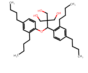 CCCCc1ccc(OC(c2ccc(CCCC)cc2CCCC)C(CO)(CO)CO)c(CCCC)c1